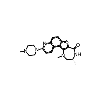 C[C@@H]1CN(C)c2c(sc3ccc4nc(N5CCN(C)CC5)ccc4c23)C(=O)N1